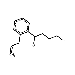 C=CCc1ccccc1C(O)CCCCl